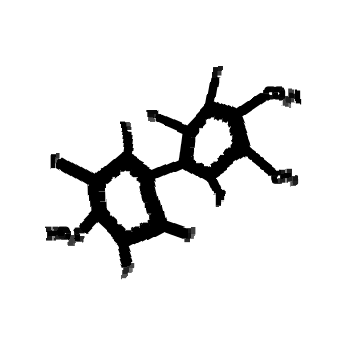 Cc1c(F)c(-c2c(F)c(F)c(C(=O)O)c(F)c2F)c(F)c(F)c1C(=O)O